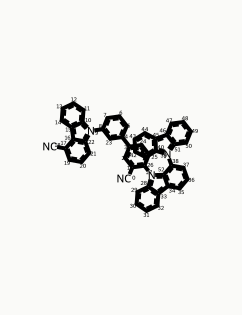 N#Cc1cc(-c2cccc(-n3c4ccccc4c4c(C#N)cccc43)c2)ccc1-n1c2ccccc2c2cccc(-n3c4ccccc4c4ccccc43)c21